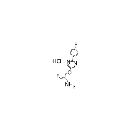 Cl.NC/C(=C/F)COc1cnc(-c2ccc(F)cc2)nc1